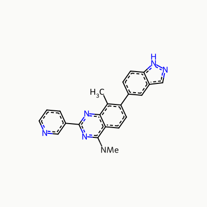 CNc1nc(-c2cccnc2)nc2c(C)c(-c3ccc4[nH]ncc4c3)ccc12